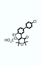 CCc1ccc(-c2ccc(Cl)cc2)cc1C1=C(OC(=O)O)C(C)(C)OC(C)(C)C1=O